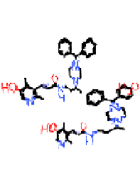 Cc1ncc(O)c(C)c1/C=C/C(=O)NCCC(C)N1CCN(C(c2ccccc2)c2ccccc2)CC1.Cc1ncc(O)c(C)c1/C=C/C(=O)NCCC(C)N1CCN(C(c2ccccc2)c2ccccc2)CC1.O